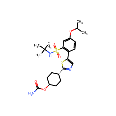 CC(C)Oc1ccc(-c2cnc([C@H]3CC[C@H](OC(N)=O)CC3)s2)c(S(=O)(=O)NC(C)(C)C)c1